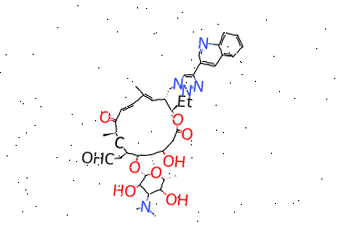 CC[C@H]1OC(=O)C[C@@H](O)[C@H](C)[C@@H](O[C@@H]2O[C@H](C)C(O)C(N(C)C)C2O)[C@@H](CC=O)C[C@@H](C)C(=O)/C=C/C(C)=C/[C@@H]1Cn1cc(-c2cnc3ccccc3c2)nn1